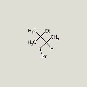 CCC(C)(C)C(C)(F)CC(C)C